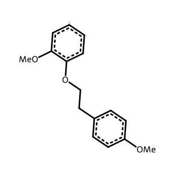 COc1ccc(CCOc2cc[c]cc2OC)cc1